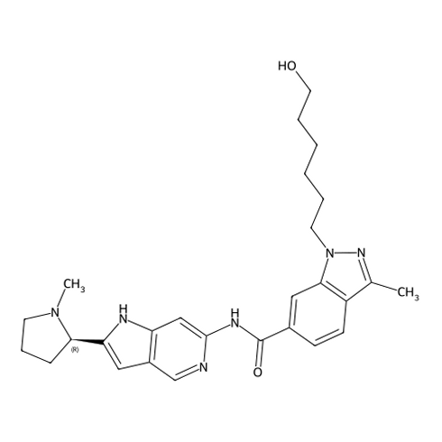 Cc1nn(CCCCCCO)c2cc(C(=O)Nc3cc4[nH]c([C@H]5CCCN5C)cc4cn3)ccc12